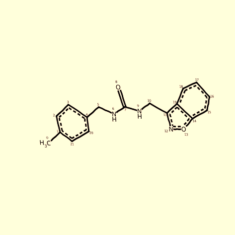 Cc1ccc(CNC(=O)NCc2noc3ccccc23)cc1